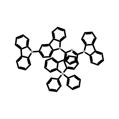 c1ccc([Si](c2ccccc2)(c2ccccc2)c2ccccc2-c2ccc(-n3c4ccccc4c4ccccc43)nc2-n2c3ccccc3c3cc(-n4c5ccccc5c5ccccc54)ccc32)cc1